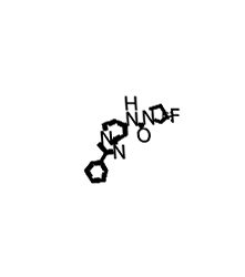 O=C(Nc1ccn2cc(-c3ccccc3)nc2c1)N1CC[C@H](F)C1